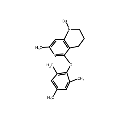 CCC(C)N1CCCc2c1cc(C)nc2Oc1c(C)cc(C)cc1C